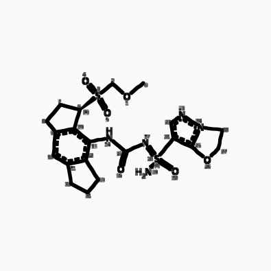 COCS(=O)(=O)[C@@H]1CCc2cc3c(c(NC(=O)N=[S@@](N)(=O)c4cnn5c4OCC5)c21)CCC3